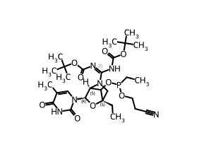 CCP(OCCC#N)OC1[C@H]2[C@H](n3cc(C)c(=O)[nH]c3=O)O[C@@]1(CC)CN2/C(=N\C(=O)OC(C)(C)C)NC(=O)OC(C)(C)C